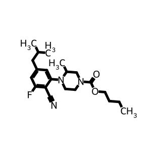 CCCCOC(=O)N1CCN(c2cc(CC(C)C)cc(F)c2C#N)C(C)C1